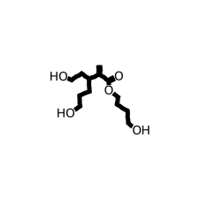 C=C(C(=O)OCCCCO)C(CCO)CCCO